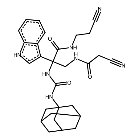 N#CCCNC(=O)C(CNC(=O)CC#N)(NC(=O)NC12CC3CC(CC(C3)C1)C2)c1c[nH]c2ccccc12